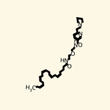 CC/C=C\C/C=C\C/C=C\C/C=C\C/C=C\CCCC(=O)NCCOCCNC(=O)c1ccc(CCN2CCCC2)nc1